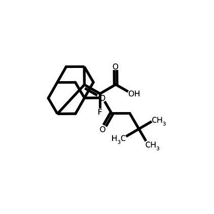 CC(C)(C)CC(=O)OC12CC3CC(C1)C(=C(F)C(=O)O)C(C3)C2